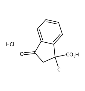 Cl.O=C1CC(Cl)(C(=O)O)c2ccccc21